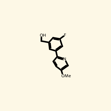 COc1ccc(-c2cc(F)cc(CO)c2)nc1